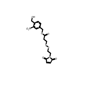 O=C(CCSSCCN1C(=O)C=CC1=O)OCc1ccc(CO)c([N+](=O)[O-])c1